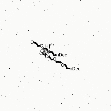 CC(C)[O-].CC(C)[O-].CCCCCCCCCCCCOCCOCC[O-].CCCCCCCCCCCCOCCOCC[O-].[Hf+4]